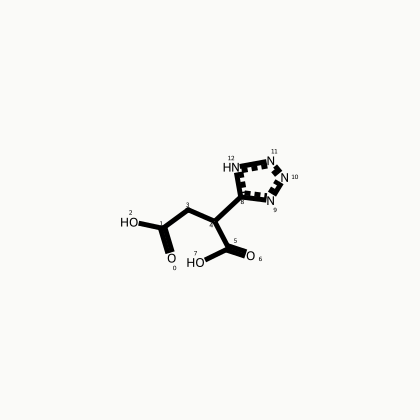 O=C(O)CC(C(=O)O)c1nnn[nH]1